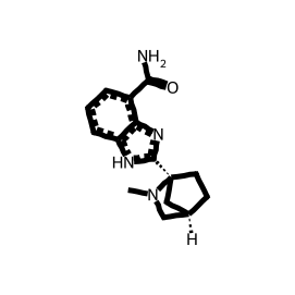 CN1C[C@@H]2CC[C@@]1(c1nc3c(C(N)=O)cccc3[nH]1)C2